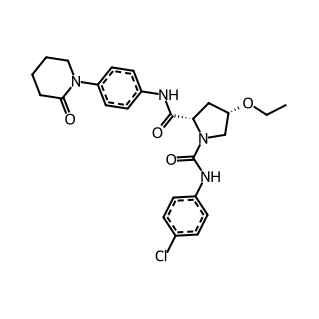 CCO[C@H]1C[C@@H](C(=O)Nc2ccc(N3CCCCC3=O)cc2)N(C(=O)Nc2ccc(Cl)cc2)C1